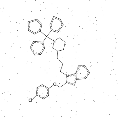 Clc1ccc(OCc2cc3ccccc3n2CCCC2CCCN(C(c3ccccc3)(c3ccccc3)c3ccccc3)C2)cc1